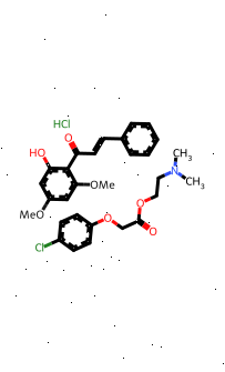 CN(C)CCOC(=O)COc1ccc(Cl)cc1.COc1cc(O)c(C(=O)C=Cc2ccccc2)c(OC)c1.Cl